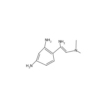 CN(C)/C=C(\N)c1ccc(N)cc1N